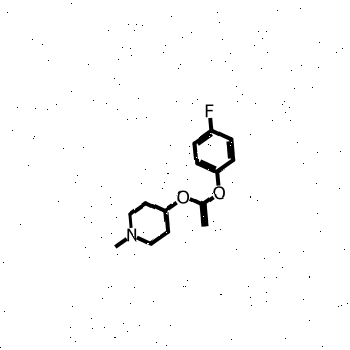 C=C(Oc1ccc(F)cc1)OC1CCN(C)CC1